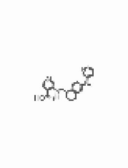 CN(c1cccnc1)c1ccc2c(c1)CCC[C@H]2CNc1cnccc1C(=O)O